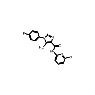 Cc1c(C(=O)Nc2cccc(Cl)n2)nnn1-c1ccc(F)cc1